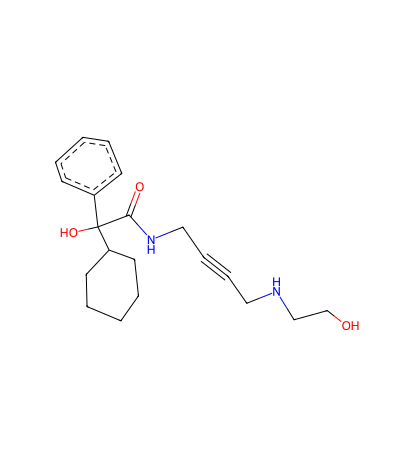 O=C(NCC#CCNCCO)C(O)(c1ccccc1)C1CCCCC1